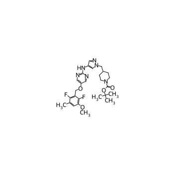 COc1cc(C)c(F)c(COc2cnc(Nc3cnn(CC4CCN(C(=O)OC(C)(C)C)CC4)c3)nc2)c1F